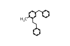 Cc1ccc(Cc2ccccc2)cc1CCc1ccccc1